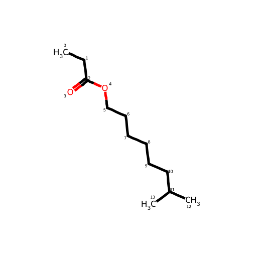 CCC(=O)OCCCCCCC(C)C